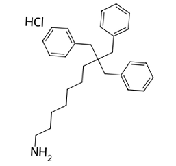 Cl.NCCCCCCCC(Cc1ccccc1)(Cc1ccccc1)Cc1ccccc1